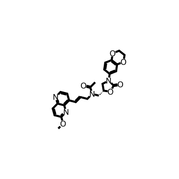 COc1ccc2nccc(/C=C/CN(C[C@@H]3CN(c4ccc5c(c4)OCCO5)C(=O)O3)C(C)=O)c2n1